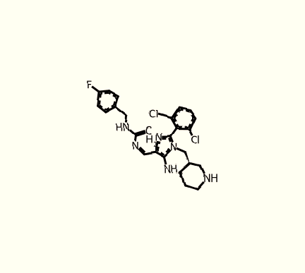 C=C(/N=C\c1nc(-c2c(Cl)cccc2Cl)n(C[C@@H]2CCCNC2)c1N)NCc1ccc(F)cc1